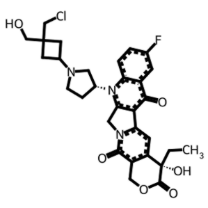 CC[C@@]1(O)C(=O)OCc2c1cc1n(c2=O)Cc2c-1c(=O)c1cc(F)ccc1n2[C@@H]1CCN(C2CC(CO)(CCl)C2)C1